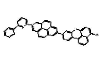 N#Cc1ccc2c3c(cccc13)-c1ccc(-c3cc4ccc5cc(-c6cccc(-c7ccccc7)n6)cc6ccc(c3)c4c56)cc1O2